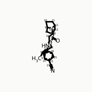 CC#CCOC(=O)N1CC2CCC(C1)N2CCCNc1ccc(C#N)cc1